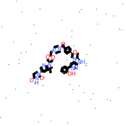 Cc1cn(C2COC(CN3CCN(C(=O)c4ccc([C@@H]5CN(c6cc(-c7ccccc7O)nnc6N)[C@H](C)CO5)cc4)CC3)OC2)c2ncc(N3CCC(=O)NC3=O)cc12